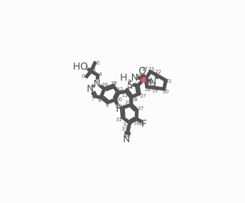 CC(C)(O)Cn1ncc2cc(F)c(-c3sc(C(=O)N4C5CCC4CC(N)C5)cc3-c3ccc(C#N)c(F)c3)cc21